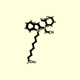 CCCCCCCCCCCCCCCCCCn1c(N(CC#N)C2CCCOC2C)cc2ccccc21